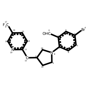 O=Cc1cc(Br)ccc1N1CCC(Oc2ccc(C(F)(F)F)cn2)C1